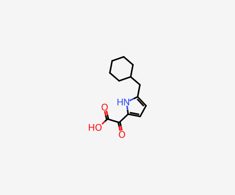 O=C(O)C(=O)c1ccc(CC2CCCCC2)[nH]1